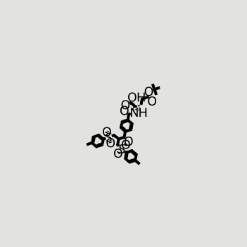 Cc1ccc(S(=O)(=O)CC(CS(=O)(=O)c2ccc(C)cc2)C(=O)c2ccc(C(=O)N[C@@H](CCC(=O)OC(C)(C)C)C(=O)O)cc2)cc1